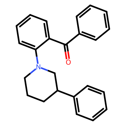 O=C(c1ccccc1)c1ccccc1N1CCCC(c2ccccc2)C1